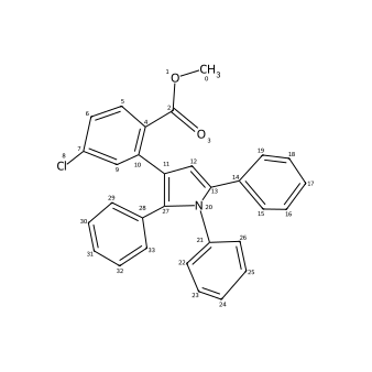 COC(=O)c1ccc(Cl)cc1-c1cc(-c2ccccc2)n(-c2ccccc2)c1-c1ccccc1